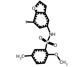 COc1ccc(C)cc1S(=O)(=O)Nc1cc(I)c2occc2c1